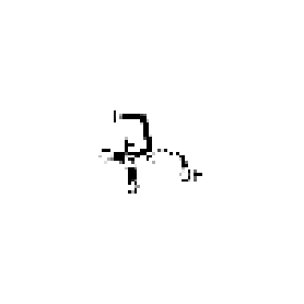 O=[SH](=O)[C@@H](CO)CF